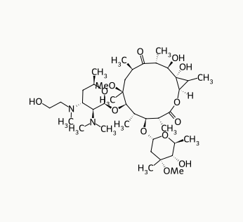 CO[C@]1(C)C[C@H](O[C@H]2[C@H](C)[C@@H](O[C@@H]3O[C@H](C)C[C@@H](N(C)CCO)[C@@H]3N(C)C)[C@@](C)(OC)C[C@@H](C)C(=O)[C@H](C)[C@@H](O)[C@@]3(O)C(C)[C@H]3OC(=O)[C@@H]2C)O[C@@H](C)[C@@H]1O